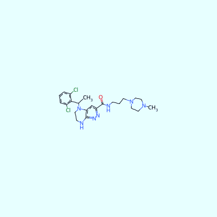 CC(c1c(Cl)cccc1Cl)N1CCNc2nnc(C(=O)NCCCN3CCN(C)CC3)cc21